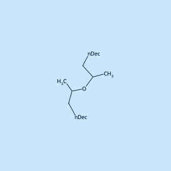 CCCCCCCCCCCC(C)OC(C)CCCCCCCCCCC